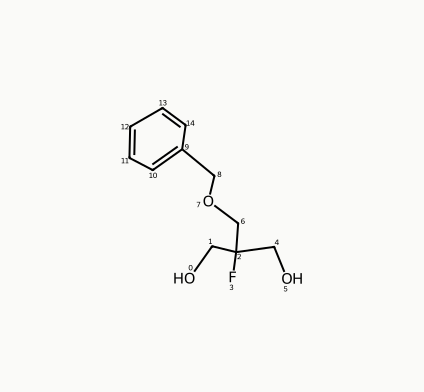 OCC(F)(CO)COCc1ccccc1